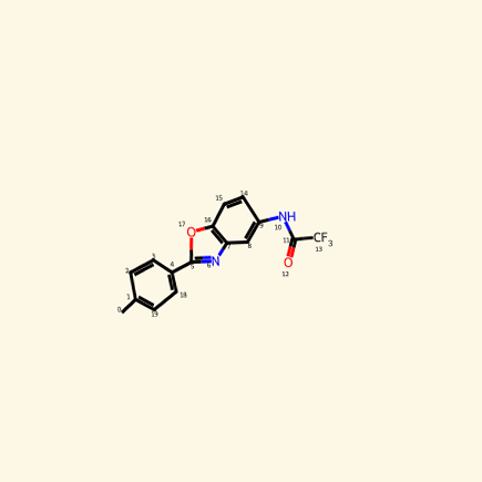 Cc1ccc(-c2nc3cc(NC(=O)C(F)(F)F)ccc3o2)cc1